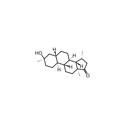 C[C@@H]1CC(=O)[C@@]2(C)CC[C@H]3[C@@H](CC[C@H]4C[C@](C)(O)CC[C@@H]43)[C@H]12